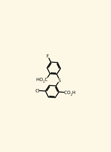 O=C(O)c1ccc(Cl)cc1Sc1ccc(F)cc1C(=O)O